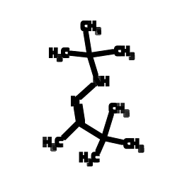 C/C(=N/NC(C)(C)C)C(C)(C)C